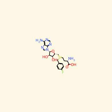 Nc1ncnc2c1ncn2[C@@H]1O[C@H](C[S+](CC[C@H](N)C(=O)O)Cc2ccc(F)cc2)[C@@H](O)[C@H]1O